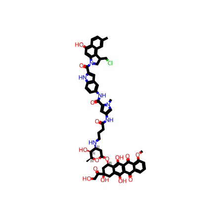 COc1cccc2c1C(=O)c1c(O)c3c(c(O)c1C2=O)CC(O)(C(=O)CO)C[C@H]3OC1C[C@H](NCCCC(=O)Nc2cc(C(=O)Nc3ccc4[nH]c(C(=O)N5CC(CCl)c6c5cc(O)c5ccc(C)cc65)cc4c3)n(C)c2)[C@H](O)[C@H](C)O1